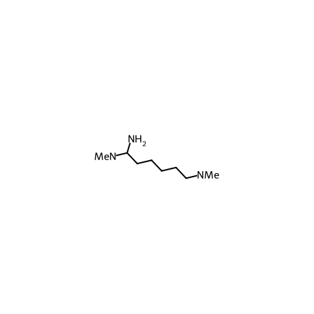 CNCCCCCC(N)NC